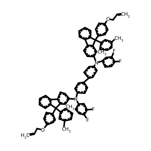 C=CCOc1ccc(C2(c3cc(C)ccc3C)c3ccccc3-c3ccc(N(c4ccc(-c5ccc(N(c6ccc(F)c(F)c6)c6ccc7c(c6)C(c6ccc(OCC=C)cc6)(c6cc(C)ccc6C)c6ccccc6-7)cc5)cc4)c4ccc(F)c(F)c4)cc32)cc1